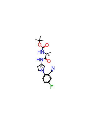 C[C@H](NC(=O)OC(C)(C)C)C(=O)N[C@H]1CCN(c2ccc(F)cc2C#N)C1